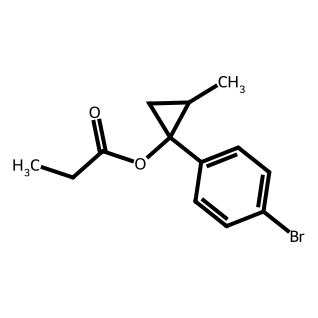 CCC(=O)OC1(c2ccc(Br)cc2)CC1C